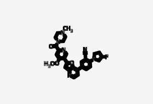 COc1cc(C(=O)N2CCN(C)CC2)ncc1-c1cc2nccc(-c3ccc(N4CCC(F)C4)c(C#N)c3)c2o1